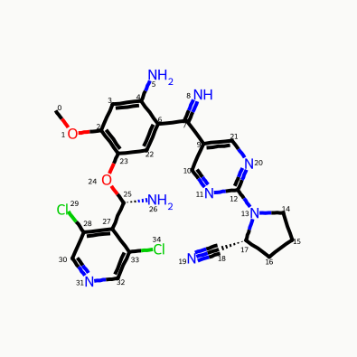 COc1cc(N)c(C(=N)c2cnc(N3CCC[C@@H]3C#N)nc2)cc1O[C@H](N)c1c(Cl)cncc1Cl